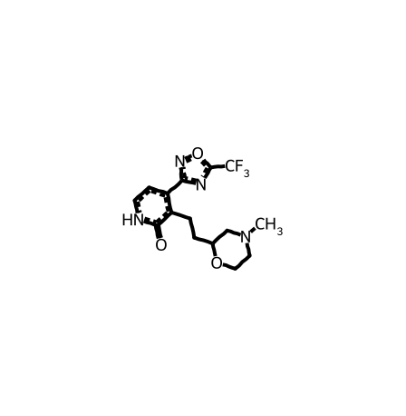 CN1CCOC(CCc2c(-c3noc(C(F)(F)F)n3)cc[nH]c2=O)C1